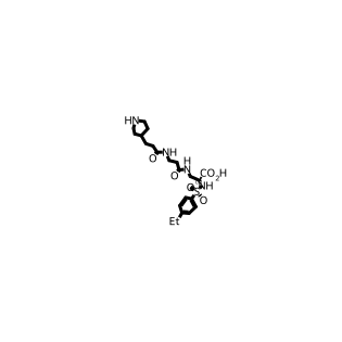 CCc1ccc(S(=O)(=O)N[C@@H](CNC(=O)CCNC(=O)CCC2CCNCC2)C(=O)O)cc1